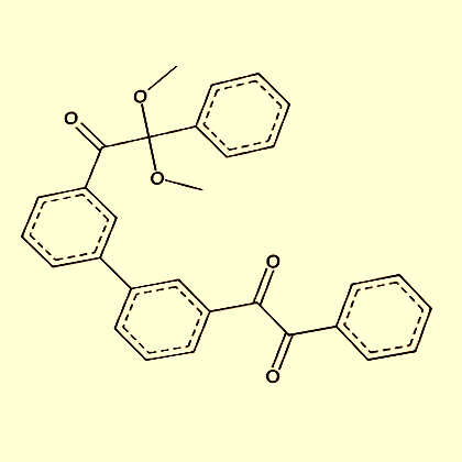 COC(OC)(C(=O)c1cccc(-c2cccc(C(=O)C(=O)c3ccccc3)c2)c1)c1ccccc1